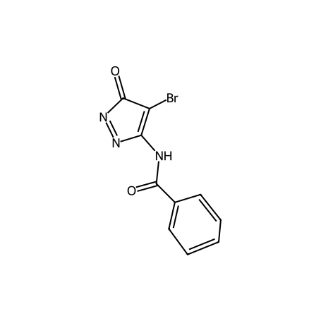 O=C1N=NC(NC(=O)c2ccccc2)=C1Br